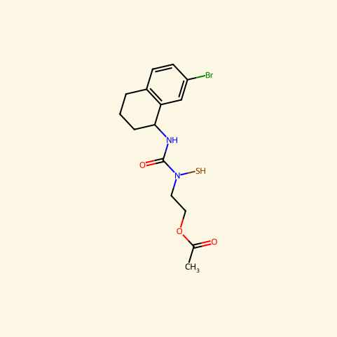 CC(=O)OCCN(S)C(=O)NC1CCCc2ccc(Br)cc21